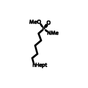 CCCCCCCCCCCCP(=O)(NC)OC